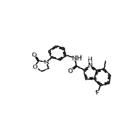 Cc1ccc(F)c2cc(C(=O)Nc3cccc(N4CCOC4=O)c3)[nH]c12